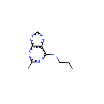 CSCCNc1nc(Cl)nc2nc[nH]c12